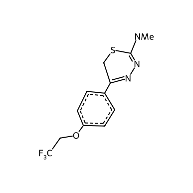 CNC1=NN=C(c2ccc(OCC(F)(F)F)cc2)CS1